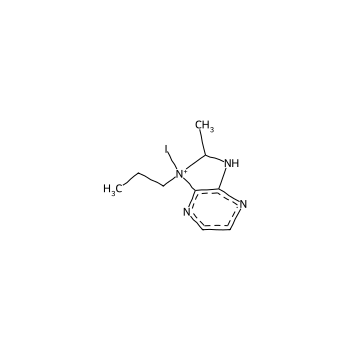 CCC[N+]1(I)c2nccnc2NC1C